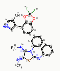 FC(F)(F)/N=C1\S/C(=N/c2ccccc2)N(c2ccccc2)\C1=N\C(F)(F)F.N#Cc1c[nH]cc1-c1cccc2c1OC(F)(F)O2